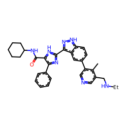 CCNCc1cncc(-c2ccc3[nH]nc(-c4nc(-c5ccccc5)c(C(=O)NC5CCCCC5)[nH]4)c3c2)c1C